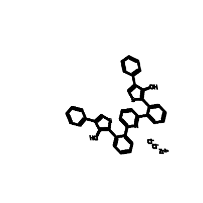 Oc1c(-c2ccccc2)csc1-c1ccccc1-c1cccc(-c2ccccc2-c2scc(-c3ccccc3)c2O)n1.[Cl-].[Cl-].[Zr+2]